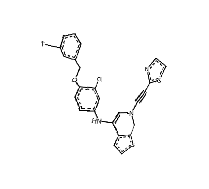 Fc1cccc(COc2ccc(NC3=CN(C#Cc4nccs4)Cc4sccc43)cc2Cl)c1